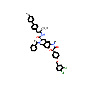 CC[C@H](c1ccccc1)N1Cc2cc3c(cc2C[C@H]1C(=O)NC(Cc1ccc(-c2ccc(C#N)cc2)cc1)C(=O)O)N(C)C(=O)[C@@H](c1ccc(OCc2ccc(Cl)c(Cl)c2)cc1)O3